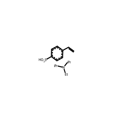 C=Cc1ccc(S(=O)(=O)O)cc1.CCN(C(C)C)C(C)C